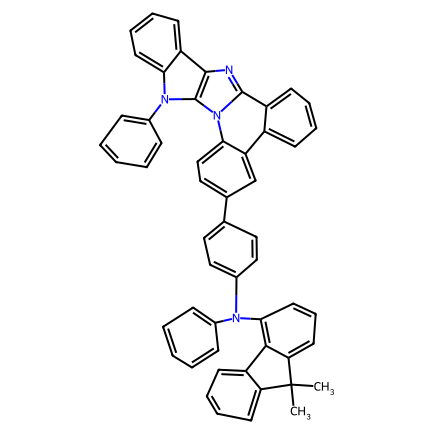 CC1(C)c2ccccc2-c2c(N(c3ccccc3)c3ccc(-c4ccc5c(c4)c4ccccc4c4nc6c7ccccc7n(-c7ccccc7)c6n54)cc3)cccc21